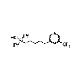 CC(C)[Si](O)(CCCCCc1cccc(C(F)(F)F)c1)C(C)C